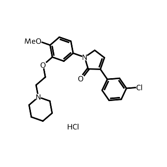 COc1ccc(N2CC=C(c3cccc(Cl)c3)C2=O)cc1OCCN1CCCCC1.Cl